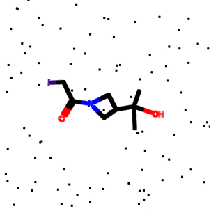 CC(C)(O)C1CN(C(=O)CI)C1